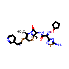 Nc1nc(C(=NOC2CCCC2)C(=O)NC2C(=O)N3C(C(=O)O)=C(S/C=C\c4cccnc4)CS[C@@H]23)ns1